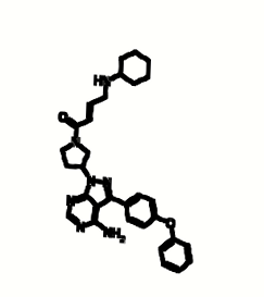 Nc1ncnc2c1c(-c1ccc(Oc3ccccc3)cc1)nn2C1CCN(C(=O)C=CCNC2CCCCC2)C1